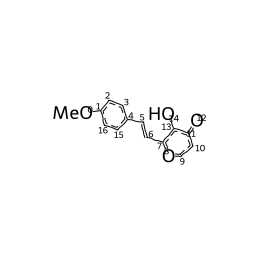 COc1ccc(/C=C/c2occc(=O)c2O)cc1